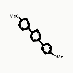 COc1ccc(-c2ccc(-c3ccc(OC)cc3)cc2)cc1